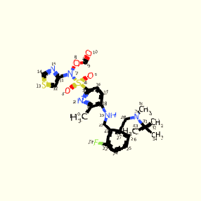 Cc1nc(S(=O)(=O)N(OC=O)c2cscn2)ccc1NCc1c(F)cccc1CN(C)C(C)(C)C